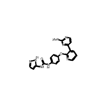 CCn1nccc1NC(=O)Nc1ccc(Oc2ncccc2-c2ccnc(NC)n2)cc1